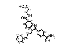 N=C(N)c1ccc(-c2nc3cc(C(=O)NCCC(=O)O)ccc3n2CCCN2CCSCC2)cc1